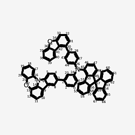 c1cc(-c2ccc3c(c2)c2cccc4c2n3-c2ccccc2O4)cc(N(c2ccc(-c3cccc4oc5ccccc5c34)cc2)c2cccc3c2-c2ccccc2C32c3ccccc3-c3ccccc32)c1